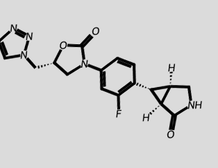 O=C1NC[C@H]2[C@@H]1[C@@H]2c1ccc(N2C[C@H](Cn3ccnn3)OC2=O)cc1F